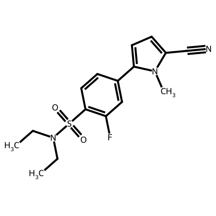 CCN(CC)S(=O)(=O)c1ccc(-c2ccc(C#N)n2C)cc1F